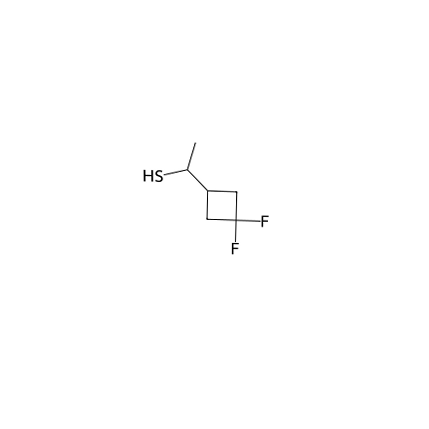 CC(S)C1CC(F)(F)C1